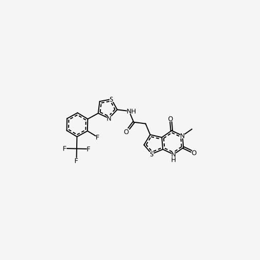 Cn1c(=O)[nH]c2scc(CC(=O)Nc3nc(-c4cccc(C(F)(F)F)c4F)cs3)c2c1=O